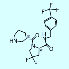 O=C(NCc1ccc(C(F)(F)F)cc1)[C@H]1CC(F)(F)CN1C(=O)[C@H]1CCCNC1